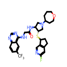 O=C(CNc1ncnc2ccc(C(F)(F)F)cc12)NC1CN(C2CCCOCC2)C[C@@H]1SC1CCc2cc(F)ncc21